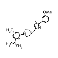 COc1cccc(-c2nc(CN3CCN(c4cc(C)nc(N(C)C)n4)CC3)cs2)c1